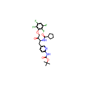 CC(C)(C)OC(=O)Nc1ccc(CC(NC(=O)C2CCCC2)C(=O)COc2c(F)c(F)cc(F)c2F)cn1